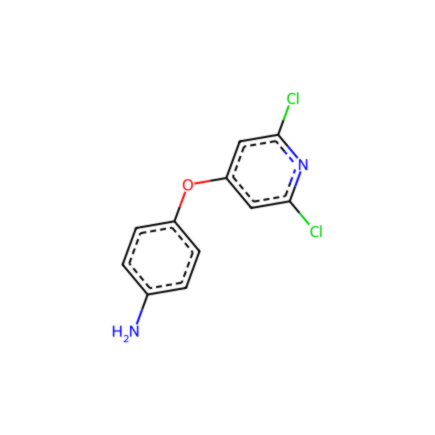 Nc1ccc(Oc2cc(Cl)nc(Cl)c2)cc1